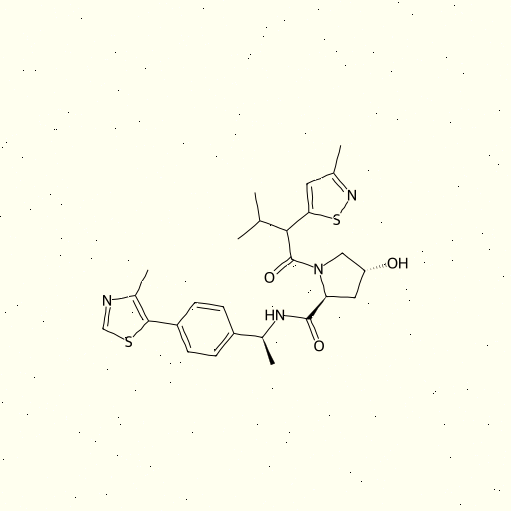 Cc1cc(C(C(=O)N2C[C@H](O)C[C@H]2C(=O)N[C@@H](C)c2ccc(-c3scnc3C)cc2)C(C)C)sn1